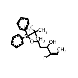 C/C=C(/F)C(O)CCO[Si](c1ccccc1)(c1ccccc1)C(C)(C)C